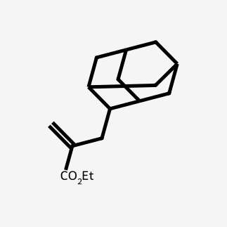 C=C(CC1C2CC3CC(C2)CC1C3)C(=O)OCC